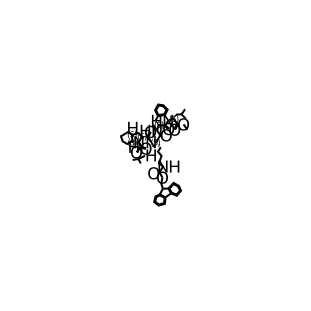 COC(=O)[C@H](CC(C)C)NC(=O)[C@H](Cc1ccccc1)NC(=O)[C@H](CCCCNC(=O)OCC1c2ccccc2-c2ccccc21)NC(=O)[C@@H]1C[C@@H]2CCCC[C@@H]2N1C(=O)OC(C)(C)C